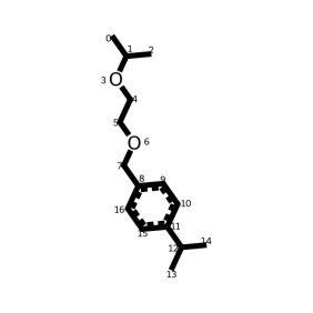 CC(C)OCCOCc1ccc(C(C)C)cc1